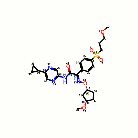 COCCCS(=O)(=O)c1ccc(/C(=N\O[C@@H]2CC[C@@H](OC)C2)C(=O)Nc2cnc(C3CC3)cn2)cc1